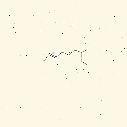 [CH2]/C=C/CCCC(C)CC